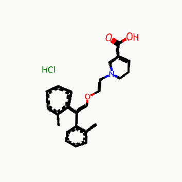 Cc1ccccc1C(=COCCN1CCC=C(C(=O)O)C1)c1ccccc1C.Cl